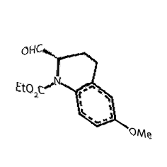 CCOC(=O)N1c2ccc(OC)cc2CC[C@@H]1C=O